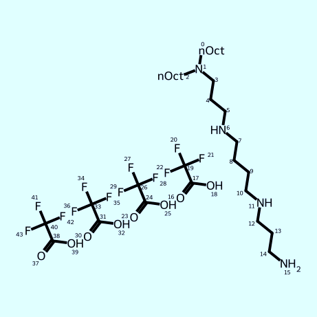 CCCCCCCCN(CCCCCCCC)CCCNCCCCNCCCN.O=C(O)C(F)(F)F.O=C(O)C(F)(F)F.O=C(O)C(F)(F)F.O=C(O)C(F)(F)F